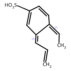 C=C/C=c1/cc(S(=O)(=O)O)cc/c1=C/C